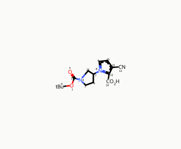 CC(C)(C)OC(=O)N1CCC(n2ccc(C#N)c2C(=O)O)C1